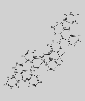 CC1(C)c2cc(N(c3ccccc3)c3cccc4c3sc3ccccc34)ccc2-c2cc3c4ccccc4c(N(c4ccccc4)c4cccc5c4sc4ccccc45)cc3c3cccc1c23